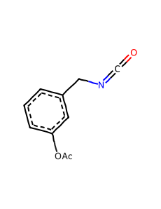 CC(=O)Oc1cccc(CN=C=O)c1